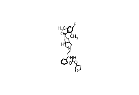 Cc1cc(F)cc(C)c1C(=O)N1CC2CN(CCC(NC(=O)OC3CCOC3)c3ccccc3)C[C@H]2C1